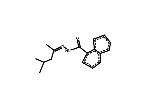 C/C(CC(C)C)=N/NC(=O)c1cccc2ccccc12